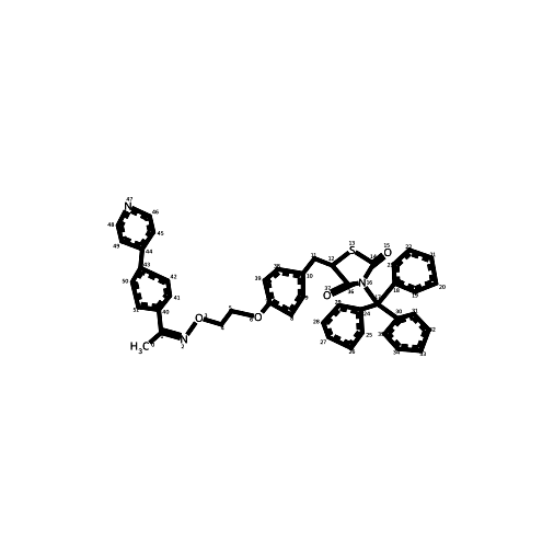 CC(=NOCCOc1ccc(CC2SC(=O)N(C(c3ccccc3)(c3ccccc3)c3ccccc3)C2=O)cc1)c1ccc(-c2ccncc2)cc1